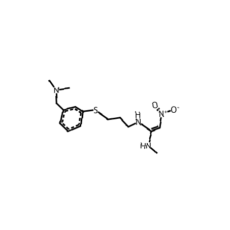 CN/C(=C/[N+](=O)[O-])NCCCSc1cccc(CN(C)C)c1